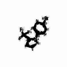 FC(F)(F)c1ccnn1-c1ccc(Br)cc1